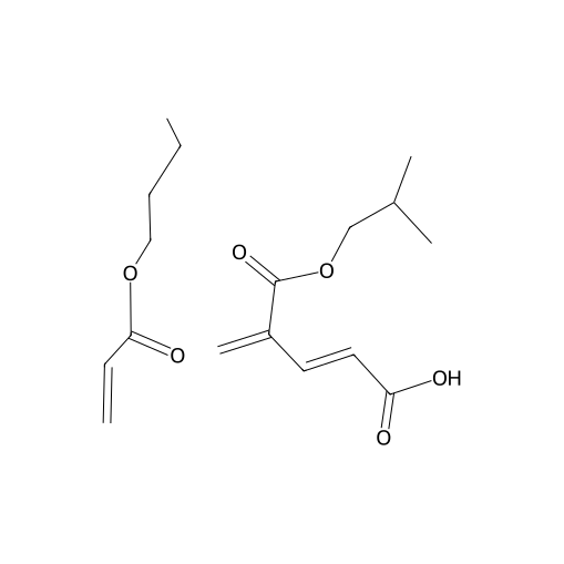 C=C(C=CC(=O)O)C(=O)OCC(C)C.C=CC(=O)OCCCC